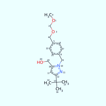 COCOCc1ccc(Cn2nc(C(C)(C)C)cc2CO)cc1